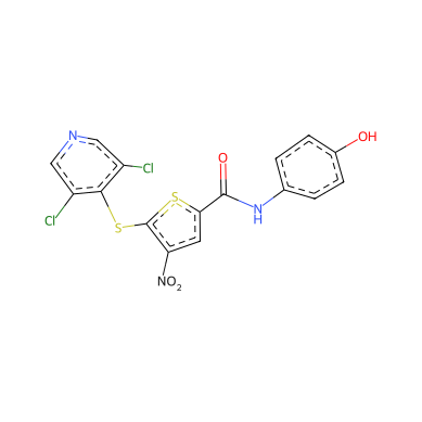 O=C(Nc1ccc(O)cc1)c1cc([N+](=O)[O-])c(Sc2c(Cl)cncc2Cl)s1